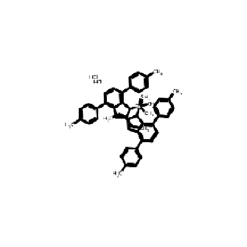 CCC1=Cc2c(-c3ccc(C)cc3)ccc(-c3ccc(C)cc3)c2[CH]1[Zr]([CH3])([CH3])(=[SiH2])[CH]1C(CC)=Cc2c(-c3ccc(C)cc3)ccc(-c3ccc(C)cc3)c21.Cl.Cl